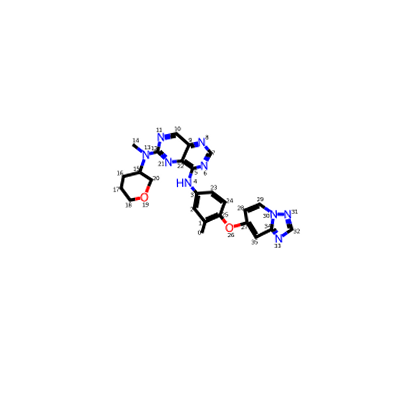 Cc1cc(Nc2ncnc3cnc(N(C)C4CCCOC4)nc23)ccc1Oc1ccn2ncnc2c1